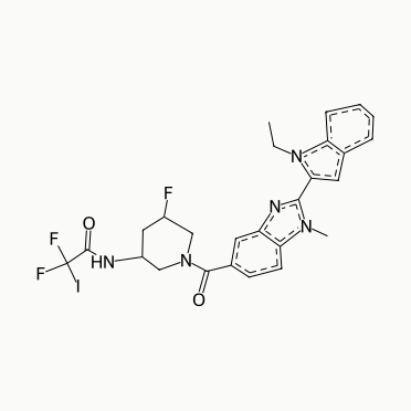 CCn1c(-c2nc3cc(C(=O)N4CC(F)CC(NC(=O)C(F)(F)I)C4)ccc3n2C)cc2ccccc21